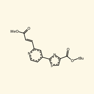 COC(=O)/C=C/c1cc(-c2nc(C(=O)OC(C)(C)C)cs2)ccn1